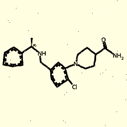 C[C@@H](NCc1ccc(Cl)c(N2CCC(C(N)=O)CC2)c1)c1ccccc1